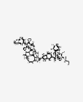 CCCOC(=O)[C@H](C)NP(=O)(Oc1ccccc1)[C@@H](F)c1ccc2sc(C(=O)NC3CCCC[C@H]4CC[C@@H](C(=O)N5C(=O)N(c6cncc(OC)c6)C(=O)C56CC6)N4C3=O)cc2c1